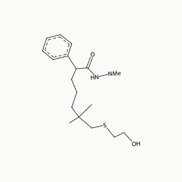 CNNC(=O)C(CCCC(C)(C)CSCCO)c1ccccc1